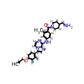 C#CCOc1ccc(-c2cnc3c(Nc4ccc(C(=O)N5CCC(CN)CC5)c(C)c4)nccn23)c(F)c1F